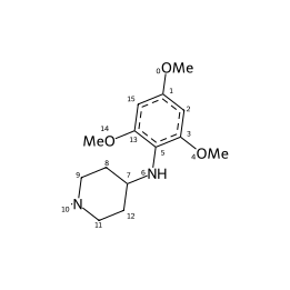 COc1cc(OC)c(NC2CC[N]CC2)c(OC)c1